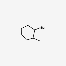 [CH2]C1CCCCC1CCCC